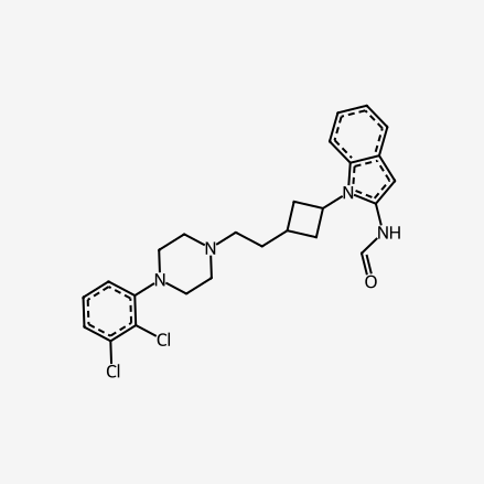 O=CNc1cc2ccccc2n1C1CC(CCN2CCN(c3cccc(Cl)c3Cl)CC2)C1